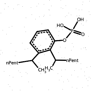 CCCCCC(C)c1cccc(OP(=O)(O)O)c1C(C)CCCCC